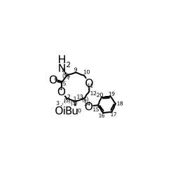 CC(C)CO[C@H]1[C@H](C)OC(=O)[C@@H](N)CCOC[C@@H]1Oc1ccccc1